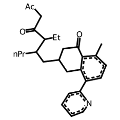 CCCC(CC1CC(=O)c2c(C)ccc(-c3ccccn3)c2C1)C(CC)C(=O)CC(C)=O